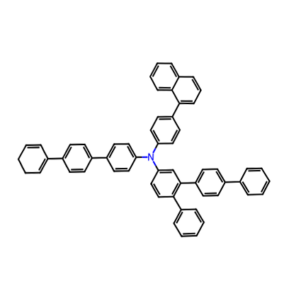 C1=CC(c2ccc(-c3ccc(N(c4ccc(-c5cccc6ccccc56)cc4)c4ccc(-c5ccccc5)c(-c5ccc(-c6ccccc6)cc5)c4)cc3)cc2)=CCC1